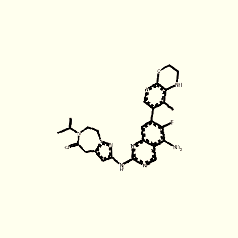 Cc1c(-c2cc3nc(Nc4cc5n(n4)CCN(C(C)C)C(=O)C5)ncc3c(N)c2F)cnc2c1NCCO2